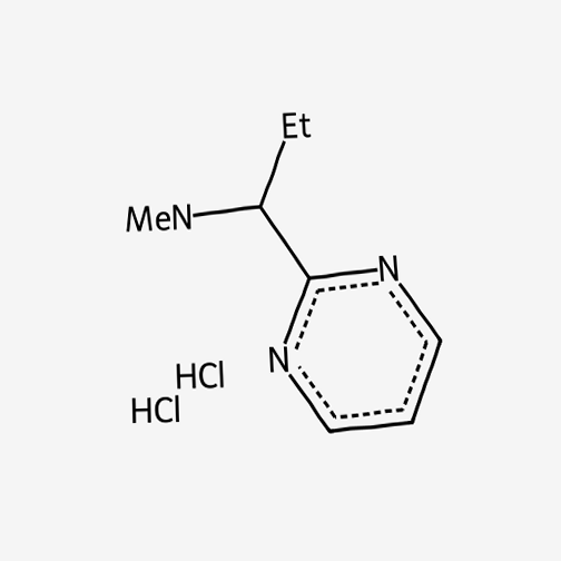 CCC(NC)c1ncccn1.Cl.Cl